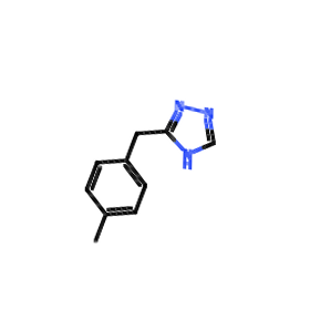 Cc1ccc(Cc2nnc[nH]2)cc1